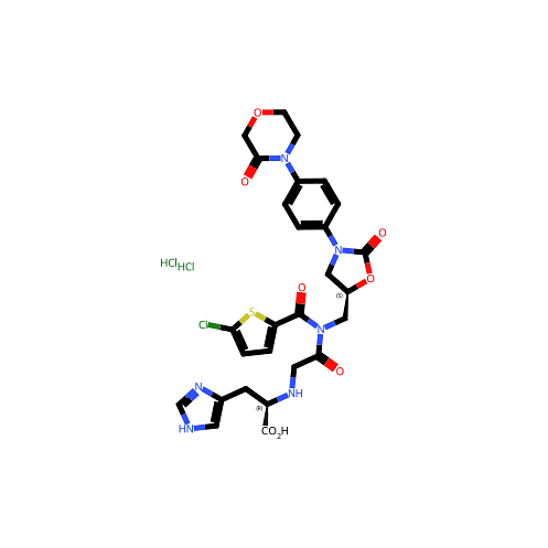 Cl.Cl.O=C(O)[C@@H](Cc1c[nH]cn1)NCC(=O)N(C[C@H]1CN(c2ccc(N3CCOCC3=O)cc2)C(=O)O1)C(=O)c1ccc(Cl)s1